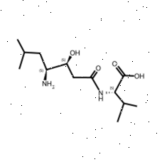 CC(C)C[C@H](N)[C@@H](O)CC(=O)N[C@H](C(=O)O)C(C)C